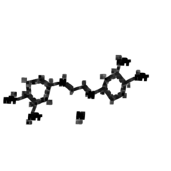 CCCc1ccc(N=CC=Nc2ccc(CCC)c(CCC)c2)cc1CCC.[Ni]